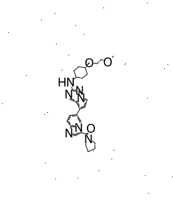 COCCO[C@H]1CC[C@@H](Nc2ncc3c(-c4ccc5ncc(C(=O)N6CCCC6)n5c4)ccn3n2)CC1